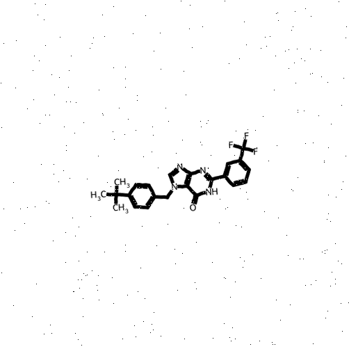 CC(C)(C)c1ccc(Cn2cnc3nc(-c4cccc(C(F)(F)F)c4)[nH]c(=O)c32)cc1